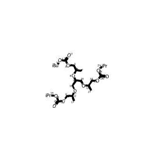 CCC(C)OC(=O)OCC(C)OC(COC(C)COC(=O)OC(C)C)COC(C)COC(=O)OC(C)C